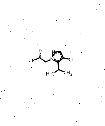 CC(C)c1c(Cl)[c]nn1CC(F)F